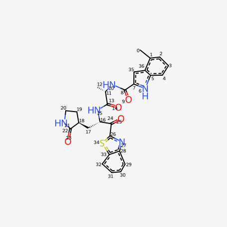 Cc1cccc2[nH]c(C(=O)N[C@@H](C)C(=O)N[C@@H](C[C@@H]3CCNC3=O)C(=O)c3nc4ccccc4s3)cc12